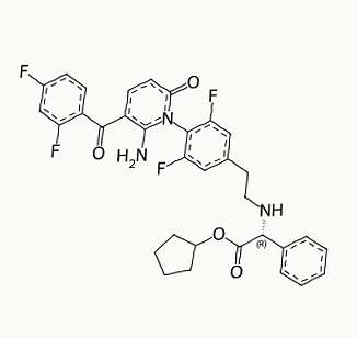 Nc1c(C(=O)c2ccc(F)cc2F)ccc(=O)n1-c1c(F)cc(CCN[C@@H](C(=O)OC2CCCC2)c2ccccc2)cc1F